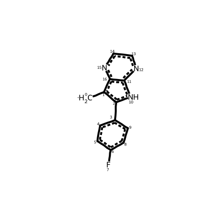 [CH2]c1c(-c2ccc(F)cc2)[nH]c2nccnc12